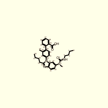 CCCCNC(=O)N(C)c1ccc2nc(CCCC)n(-c3ccc(-c4ccccc4C(=O)O)c(C)c3)c2c1